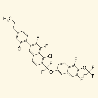 CCCc1ccc(-c2cc3ccc(C(F)(F)Oc4ccc5c(F)c(OC(F)(F)F)c(F)cc5c4)c(Cl)c3c(F)c2F)c(Cl)c1